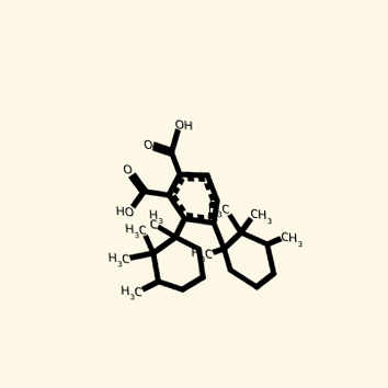 CC1CCCC(C)(c2ccc(C(=O)O)c(C(=O)O)c2C2(C)CCCC(C)C2(C)C)C1(C)C